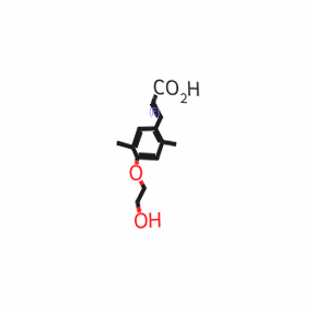 Cc1cc(OCCO)c(C)cc1/C=C/C(=O)O